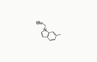 Cc1ccc2ccn(CC(C)(C)C)c2c1